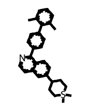 Cc1cccc(C)c1-c1ccc(-c2nccc3cc(C4CCS(C)(C)CC4)ccc23)cc1